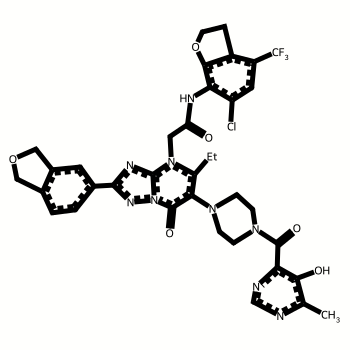 CCc1c(N2CCN(C(=O)c3ncnc(C)c3O)CC2)c(=O)n2nc(-c3ccc4c(c3)COC4)nc2n1CC(=O)Nc1c(Cl)cc(C(F)(F)F)c2c1OCC2